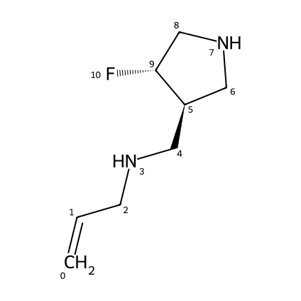 C=CCNC[C@@H]1CNC[C@H]1F